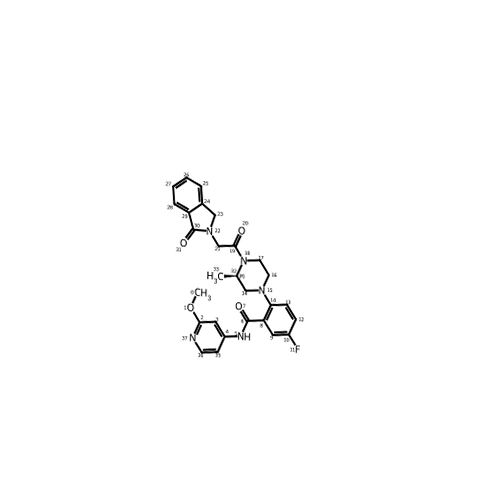 COc1cc(NC(=O)c2cc(F)ccc2N2CCN(C(=O)CN3Cc4ccccc4C3=O)[C@H](C)C2)ccn1